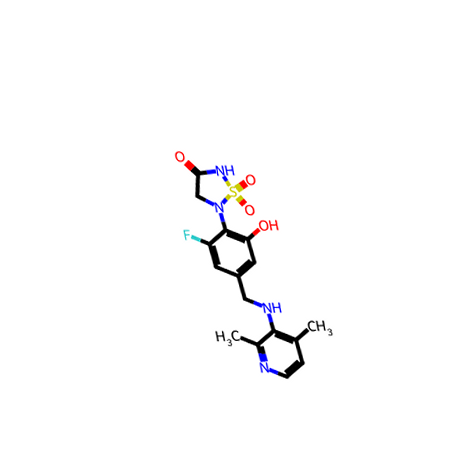 Cc1ccnc(C)c1NCc1cc(O)c(N2CC(=O)NS2(=O)=O)c(F)c1